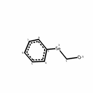 [O]C[Se]c1ccccc1